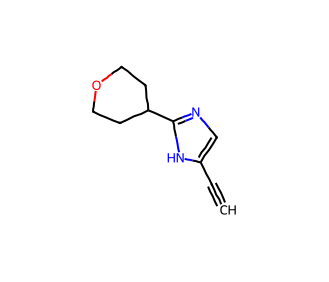 C#Cc1cnc(C2CCOCC2)[nH]1